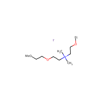 CCOCC[N+](C)(C)CCOCCOC.[I-]